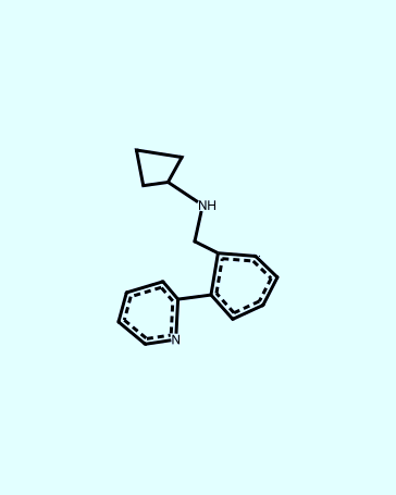 [c]1cccc(-c2ccccn2)c1CNC1CCC1